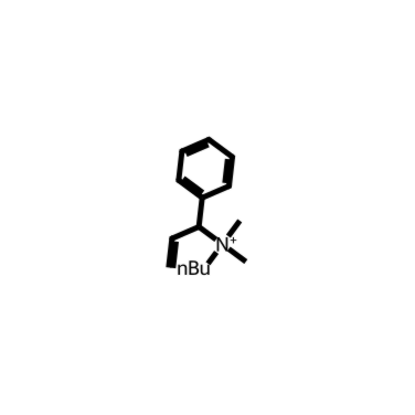 C=CC(c1ccccc1)[N+](C)(C)CCCC